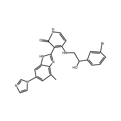 Cc1cc(-n2ccnc2)cc2[nH]c(-c3c(NCC(O)c4cccc(Br)c4)cc[nH]c3=O)nc12